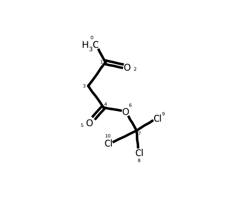 CC(=O)CC(=O)OC(Cl)(Cl)Cl